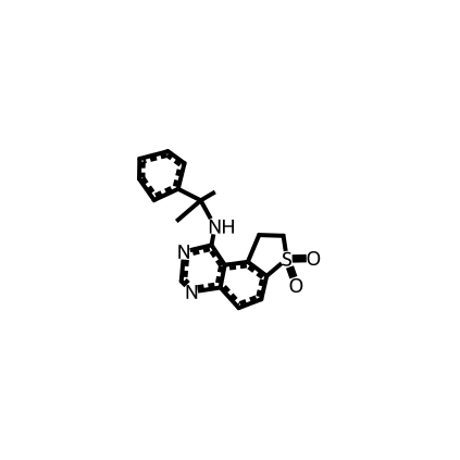 CC(C)(Nc1ncnc2ccc3c(c12)CCS3(=O)=O)c1ccccc1